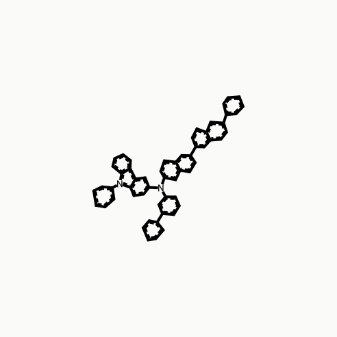 c1ccc(-c2cccc(N(c3ccc4cc(-c5ccc6cc(-c7ccccc7)ccc6c5)ccc4c3)c3ccc4c(c3)c3ccccc3n4-c3ccccc3)c2)cc1